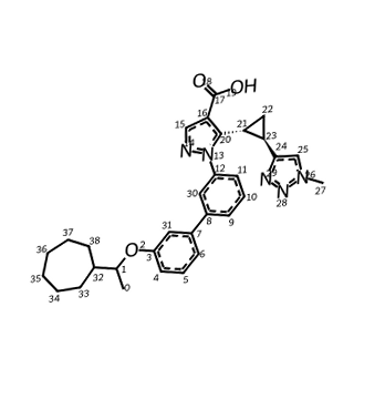 CC(Oc1cccc(-c2cccc(-n3ncc(C(=O)O)c3[C@@H]3C[C@H]3c3cn(C)nn3)c2)c1)C1CCCCCC1